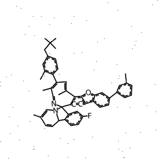 CC1=CN2C(C=C1)c1ccc(F)cc1C21/N=C/C(C)=C(c2ccc(CC(C)(C)C)cc2C)\C=C(/C)c2c1ccc1c2oc2cc(-c3cccc(C)c3)ccc21